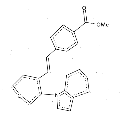 COC(=O)c1ccc(C=Cc2ccccc2-n2ccc3ccccc32)cc1